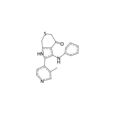 Cc1cnccc1-c1[nH]c2c(c1Nc1ccccc1)C(=O)CSC2